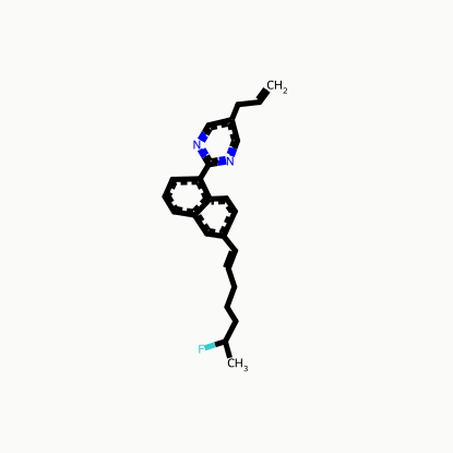 C=CCc1cnc(-c2cccc3cc(C=CCCCC(C)F)ccc23)nc1